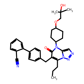 CCCc1c(Cc2ccc(-c3ccccc3C#N)cc2)c(=O)n(C2CCC(OCC(C)(C)O)CC2)c2cnnn12